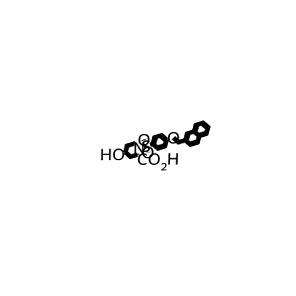 O=C(O)C1CC(O)CCN1S(=O)(=O)c1ccc(OCc2ccc3ccccc3c2)cc1